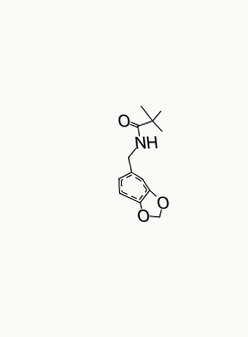 CC(C)(C)C(=O)NCc1ccc2c(c1)OCO2